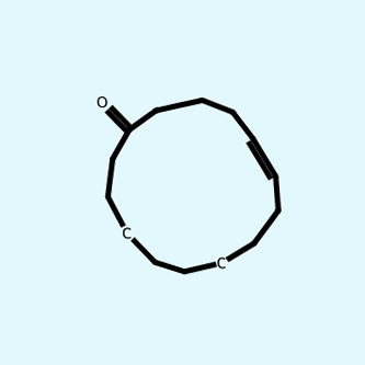 O=C1CCCC=CCCCCCCCC1